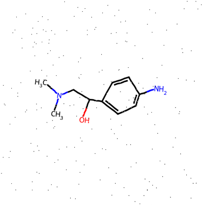 CN(C)CC(O)c1ccc(N)cc1